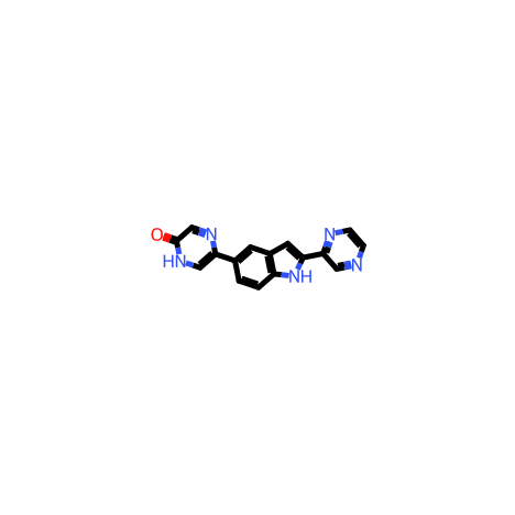 O=c1cnc(-c2ccc3[nH]c(-c4cnccn4)cc3c2)c[nH]1